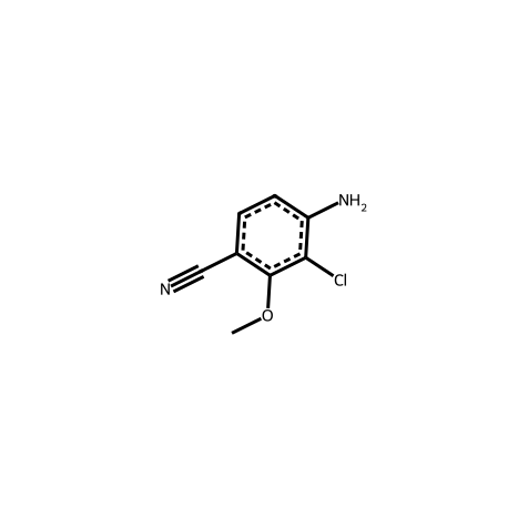 COc1c(C#N)ccc(N)c1Cl